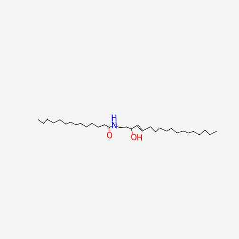 CCCCCCCCCCCCCC=CC(O)CCNC(=O)CCCCCCCCCCCCC